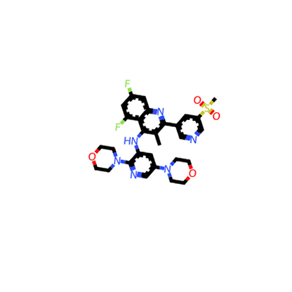 Cc1c(-c2cncc(S(C)(=O)=O)c2)nc2cc(F)cc(F)c2c1Nc1cc(N2CCOCC2)cnc1N1CCOCC1